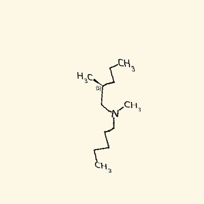 CCCCCN(C)C[C@@H](C)CCC